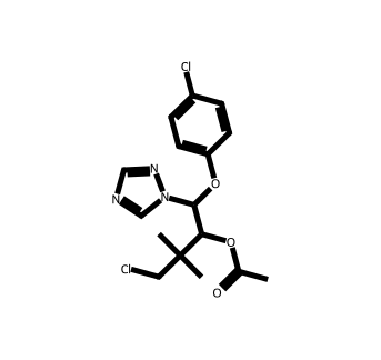 CC(=O)OC(C(Oc1ccc(Cl)cc1)n1cncn1)C(C)(C)CCl